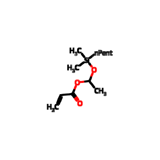 C=CC(=O)OC(C)O[Si](C)(C)CCCCC